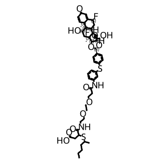 CCCCC(C)SC(CC(=O)O)C(=O)NCCOCCOCCC(=O)Nc1cccc(Sc2ccc([C@@H]3O[C@@H]4CC5[C@@H]6C[C@H](F)C7=CC(=O)C=C[C@]7(C)[C@@]6(F)[C@@H](O)C[C@]5(C)[C@]4(C(=O)CO)O3)cc2)c1